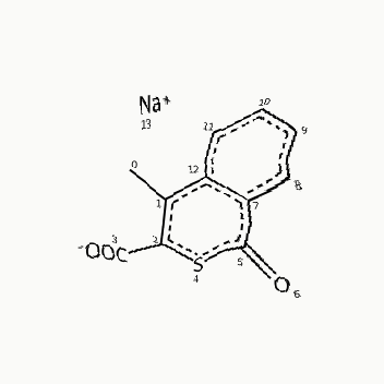 Cc1c(C(=O)[O-])sc(=O)c2ccccc12.[Na+]